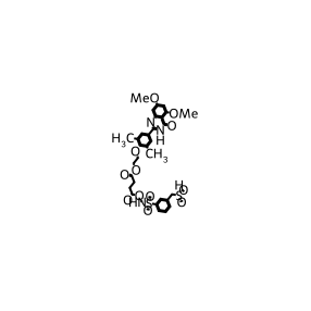 COc1cc(OC)c2c(=O)[nH]c(-c3cc(C)c(OCCOC(=O)CCC(=O)ONS(=O)(=O)c4cccc(C[SH](=O)=O)c4)c(C)c3)nc2c1